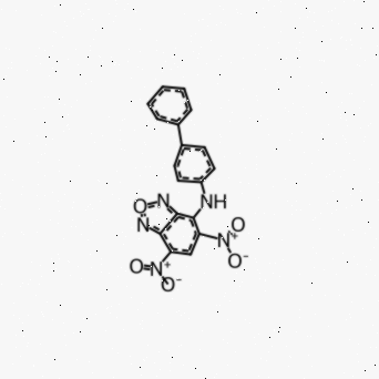 O=[N+]([O-])c1cc([N+](=O)[O-])c2nonc2c1Nc1ccc(-c2ccccc2)cc1